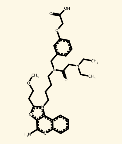 CCN(CC)CC(=O)N(CCCCn1c(CCOC)nc2c(N)nc3ccccc3c21)Cc1cccc(OCC(=O)O)c1